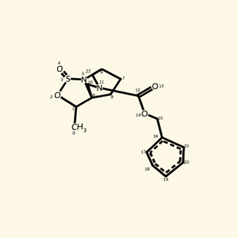 CC1OS(=O)N2C3CCC12CN(C(=O)OCc1ccccc1)C3